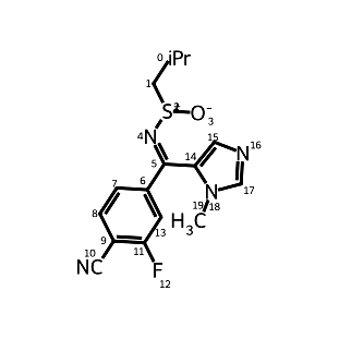 CC(C)C[S+]([O-])N=C(c1ccc(C#N)c(F)c1)c1cncn1C